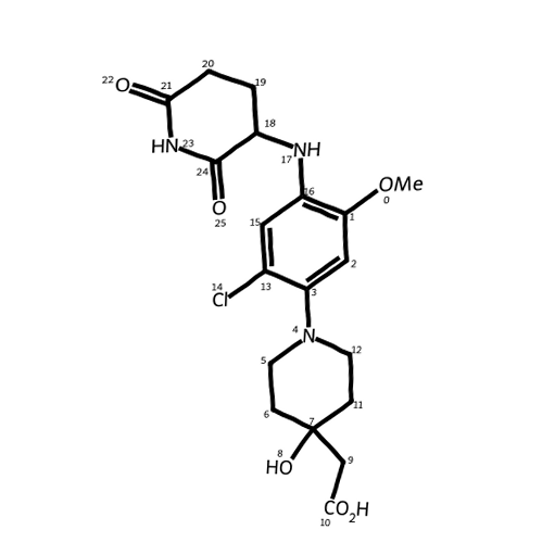 COc1cc(N2CCC(O)(CC(=O)O)CC2)c(Cl)cc1NC1CCC(=O)NC1=O